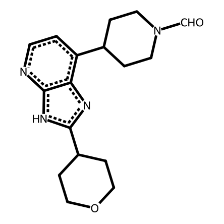 O=CN1CCC(c2ccnc3[nH]c(C4CCOCC4)nc23)CC1